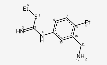 CCSC(=N)Nc1ccc(CC)c(CN)c1